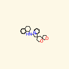 c1ccc(C2(CCNC3CCCc4ccccc43)CCOC3(CCOC3)C2)nc1